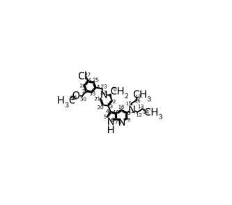 C=C1C=C(c2c[nH]c3ncc(N(CCC)CCC)cc23)C=CN1Cc1cc(Cl)cc(COC)c1